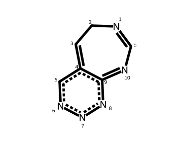 C1=NCC=c2cnnnc2=N1